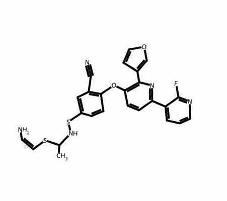 CC(NSc1ccc(Oc2ccc(-c3cccnc3F)nc2-c2ccoc2)c(C#N)c1)S/C=C\N